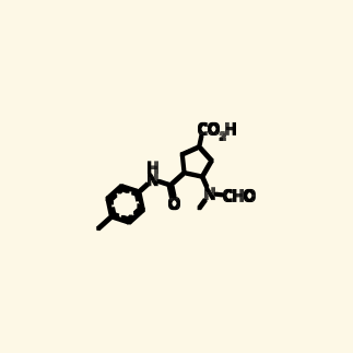 Cc1ccc(NC(=O)C2CC(C(=O)O)CC2N(C)C=O)cc1